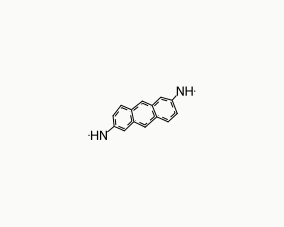 [NH]c1ccc2cc3cc([NH])ccc3cc2c1